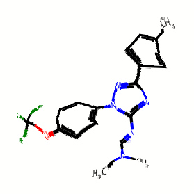 Cc1ccc(-c2nc(/N=C/N(C)C)n(-c3ccc(OC(F)(F)F)cc3)n2)cc1